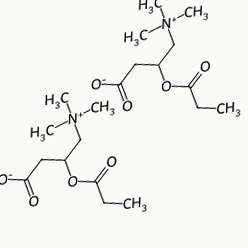 CCC(=O)OC(CC(=O)[O-])C[N+](C)(C)C.CCC(=O)OC(CC(=O)[O-])C[N+](C)(C)C